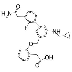 NC(=O)Cc1cccc(-c2cc(COc3ccccc3CC(=O)O)cc(NCC3CC3)c2)c1F